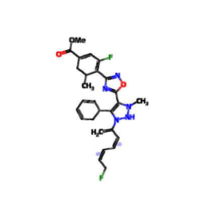 C=C(/C=C\C=C/CF)N1NN(C)C(c2nc(C3=C(F)C=C(C(=O)OC)CC3C)no2)=C1C1C=CC=CC1